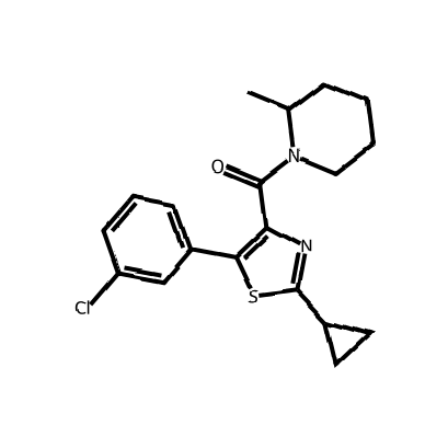 CC1CCCCN1C(=O)c1nc(C2CC2)sc1-c1cccc(Cl)c1